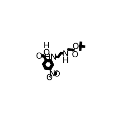 CC(C)(C)OC(=O)CNCCNc1cc([N+](=O)[O-])ccc1C(=O)O